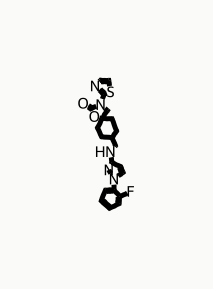 O=C1OC2(CCC(CNc3ccn(-c4ccccc4F)n3)CC2)CN1c1nccs1